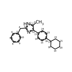 Cc1[nH]c(Cc2ccccc2)nc1-c1ccc(C2CCCCC2)cc1